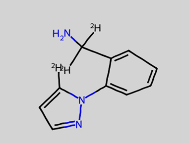 [2H]c1ccnn1-c1ccccc1C([2H])([2H])N